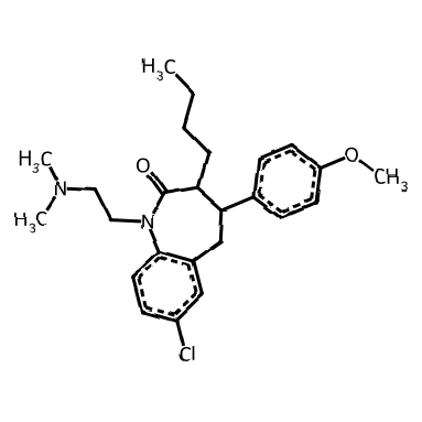 CCCCC1C(=O)N(CCN(C)C)c2ccc(Cl)cc2CC1c1ccc(OC)cc1